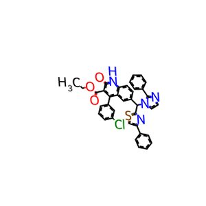 CCOC(=O)c1c(-c2cccc(Cl)c2)c2cc(C(c3nc(-c4ccccc4)cs3)n3ccnc3-c3ccccc3)ccc2[nH]c1=O